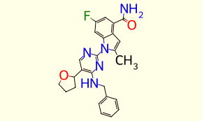 Cc1cc2c(C(N)=O)cc(F)cc2n1-c1ncc(C2CCCO2)c(NCc2ccccc2)n1